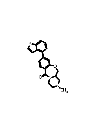 CN1CCN2C(=O)c3ccc(-c4cccc5sccc45)cc3OCC2C1